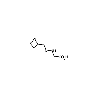 O=C(O)CNOCC1CCO1